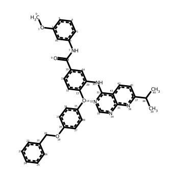 COc1cccc(NC(=O)c2ccc(Oc3ccc(OCc4ccccc4)cc3)c(Nc3ncnc4nc(C(C)C)ccc34)c2)c1